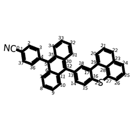 N#Cc1ccc(-c2c3ccccc3c(-c3ccc4c(c3)-c3cccc5cccc(c35)S4)c3ccccc23)cc1